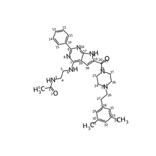 CC(=O)NCCNc1nc(-c2ccccc2)nc2[nH]c(C(=O)N3CCN(CCc4cc(C)cc(C)c4)CC3)cc12